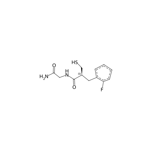 NC(=O)CNC(=O)[C@@H](CS)Cc1ccccc1F